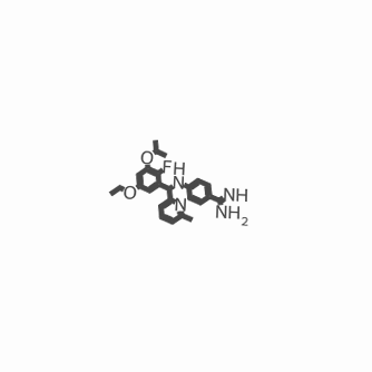 CCOc1cc(OC(C)C)c(F)c(C(Nc2ccc(C(=N)N)cc2)c2cccc(C)n2)c1